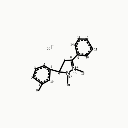 Cc1cccc(C2CC(c3ccccc3)=[N+](C)N2C)c1.[I-]